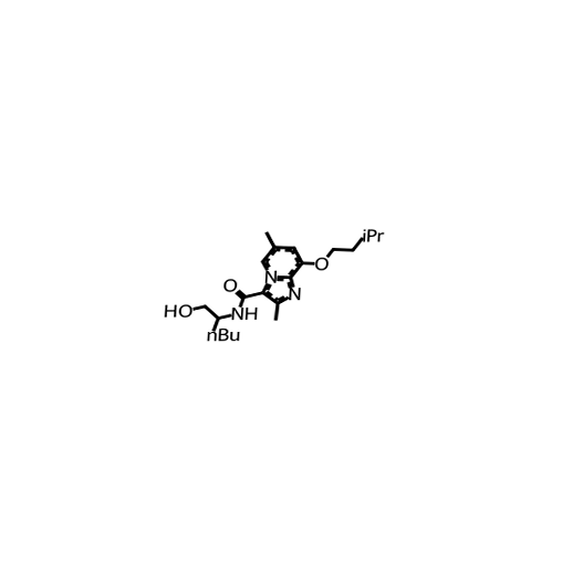 CCCCC(CO)NC(=O)c1c(C)nc2c(OCCC(C)C)cc(C)cn12